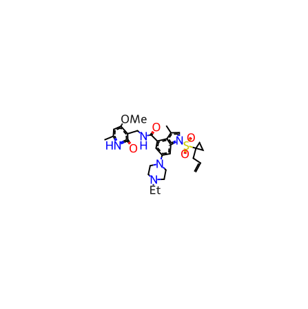 C=CCC1(S(=O)(=O)n2cc(C)c3c(C(=O)NCc4c(OC)cc(C)[nH]c4=O)cc(N4CCN(CC)CC4)cc32)CC1